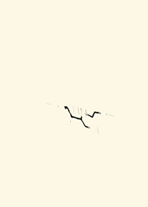 C=CC(=O)C(CO)NCCO